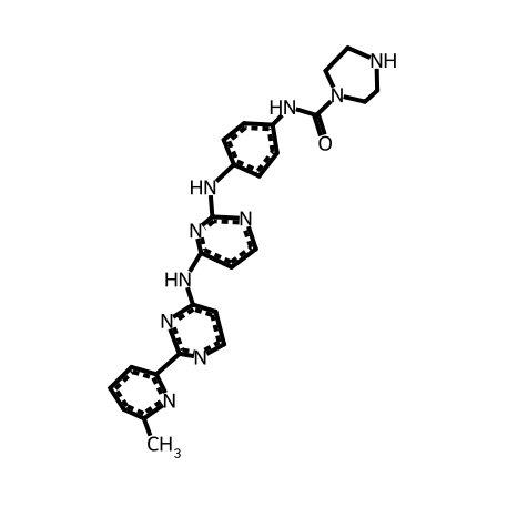 Cc1cccc(-c2nccc(Nc3ccnc(Nc4ccc(NC(=O)N5CCNCC5)cc4)n3)n2)n1